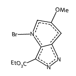 CCOC(=O)c1nnc2cc(OC)cn(Br)c1-2